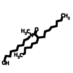 CCCCCCCCC(CCCCCC)C(=O)N(C)CCCCCCCCO